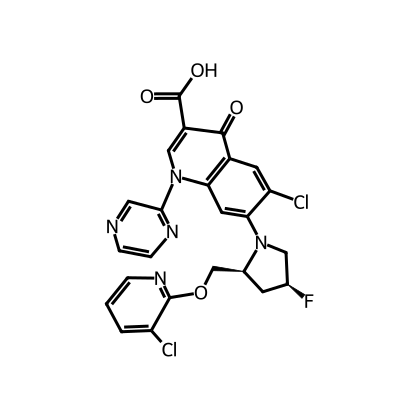 O=C(O)c1cn(-c2cnccn2)c2cc(N3C[C@@H](F)C[C@H]3COc3ncccc3Cl)c(Cl)cc2c1=O